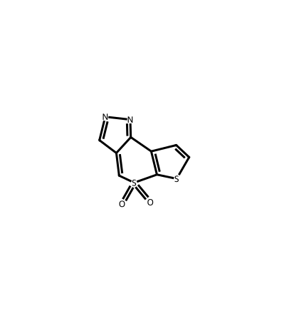 O=S1(=O)C=C2C=NN=C2c2ccsc21